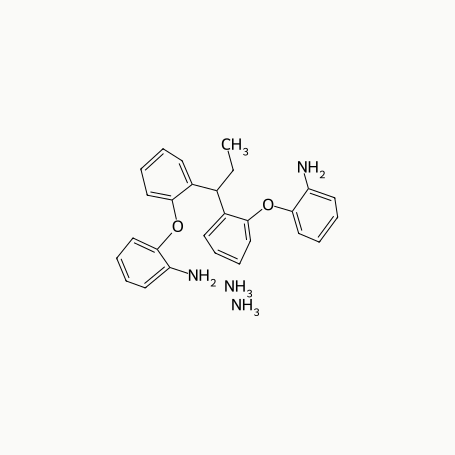 CCC(c1ccccc1Oc1ccccc1N)c1ccccc1Oc1ccccc1N.N.N